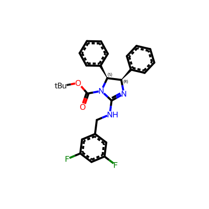 CC(C)(C)OC(=O)N1C(NCc2cc(F)cc(F)c2)=N[C@H](c2ccccc2)[C@@H]1c1ccccc1